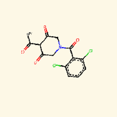 CCCC(=O)C1C(=O)CN(C(=O)c2c(Cl)cccc2Cl)CC1=O